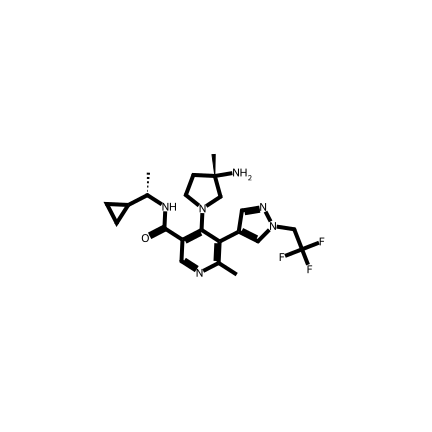 Cc1ncc(C(=O)N[C@@H](C)C2CC2)c(N2CC[C@](C)(N)C2)c1-c1cnn(CC(F)(F)F)c1